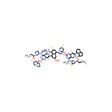 C=CC(=O)N1CC[C@@H](N(C)c2nc(OC[C@@]34CCCN3C[C@H](F)C4)nc3c(F)c(-c4cc(O)cc5c(C6CC[C@@]7(COc8nc(N(C)[C@H]9CN(C(=O)C=C)CC9(F)F)c9cnc(-c%10cccc%11cccc(Cl)c%10%11)c(F)c9n8)C[C@@H](F)CN67)cc(F)c(CC)c45)ncc23)C1